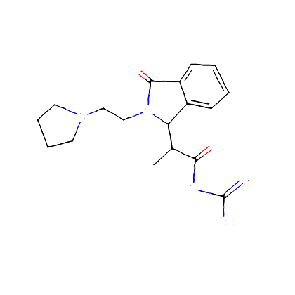 CC(C(=O)NC(=N)N)C1c2ccccc2C(=O)N1CCN1CCCC1